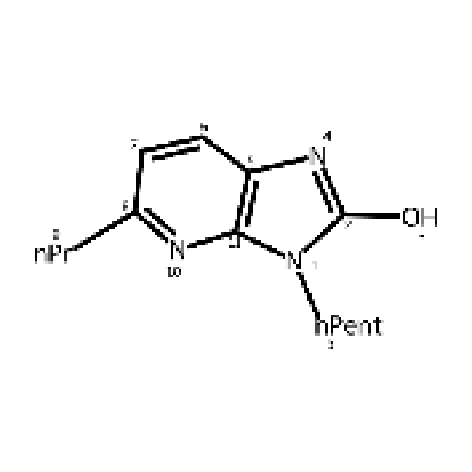 CCCCCn1c(O)nc2ccc(CCC)nc21